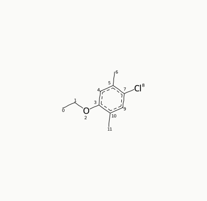 CCOc1cc(C)c(Cl)cc1C